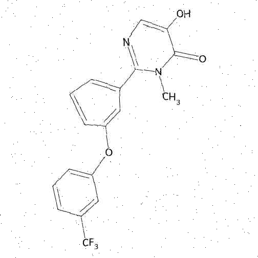 Cn1c(-c2cccc(Oc3cccc(C(F)(F)F)c3)c2)ncc(O)c1=O